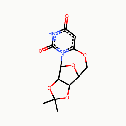 CC1(C)OC2C3COc4cc(=O)[nH]c(=O)n4C(O3)C2O1